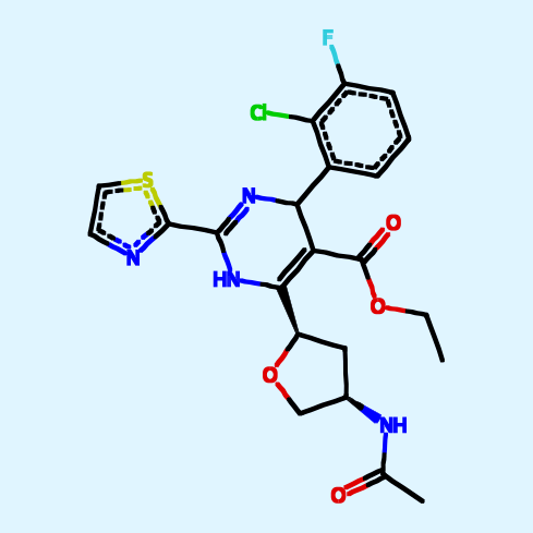 CCOC(=O)C1=C([C@H]2C[C@@H](NC(C)=O)CO2)NC(c2nccs2)=NC1c1cccc(F)c1Cl